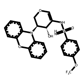 N=S(=O)(NC1=COC[C@H](N2c3ccccc3Oc3ccccc32)[C@H]1O)c1ccc(OC(F)(F)F)cc1